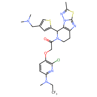 Cc1nn2c3c(nc2s1)CCN(C(=O)COc1ccc(N(C)CC(F)(F)F)nc1Cl)C3c1cc(CN(C)C)cs1